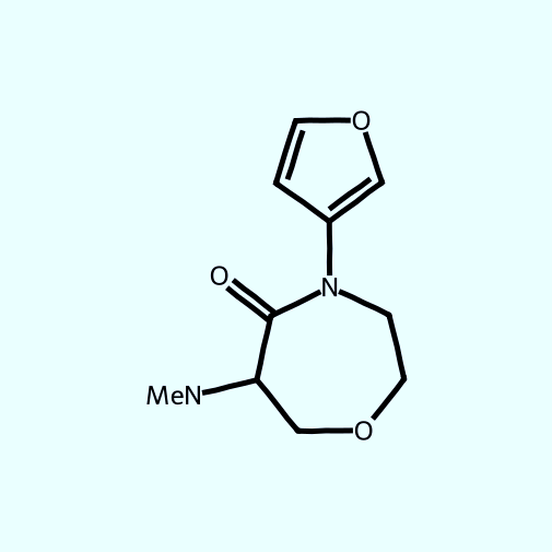 CNC1COCCN(c2ccoc2)C1=O